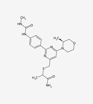 CNC(=O)Nc1ccc(-c2nc(CSC(C)C(N)=O)cc(N3CCOC[C@@H]3C)n2)cc1